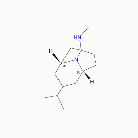 CNC12CC[C@@H]3CC(C(C)C)C[C@H](C1)N32